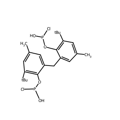 Cc1cc(Cc2cc(C)cc(C(C)(C)C)c2OP(O)Cl)c(OP(O)Cl)c(C(C)(C)C)c1